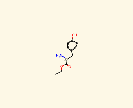 CCOC(=O)[C@@H](N)Cc1ccc(O)cc1